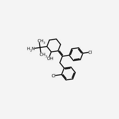 CC(C)(N)C1CCCC(=C(Cc2ccccc2Cl)c2ccc(Cl)cc2)C1O